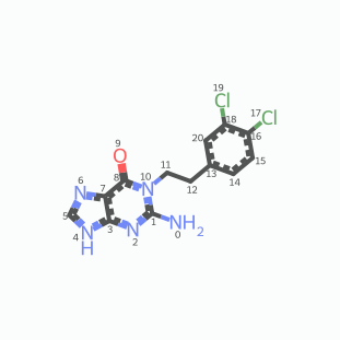 Nc1nc2[nH]cnc2c(=O)n1CCc1ccc(Cl)c(Cl)c1